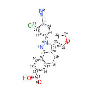 N#Cc1ccc(N2N=C3c4ccc(C(=O)O)cc4CCC3C2[C@@H]2CCOC2)cc1Cl